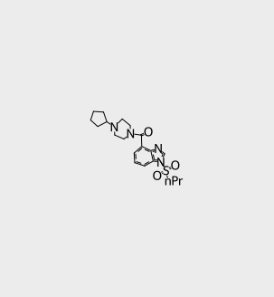 CCCS(=O)(=O)n1cnc2c(C(=O)N3CCN(C4CCCC4)CC3)cccc21